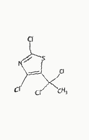 CC(Cl)(Cl)c1sc(Cl)nc1Cl